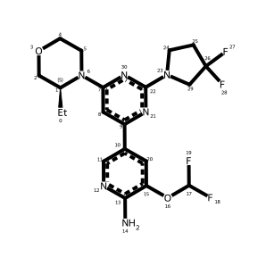 CC[C@H]1COCCN1c1cc(-c2cnc(N)c(OC(F)F)c2)nc(N2CCC(F)(F)C2)n1